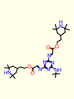 CC(C)(C)Nc1nc(N=CC(=O)OCCC2CC(C)(C)NC(C)(C)C2)nc(N=CC(=O)OCCC2CC(C)(C)NC(C)(C)C2)n1